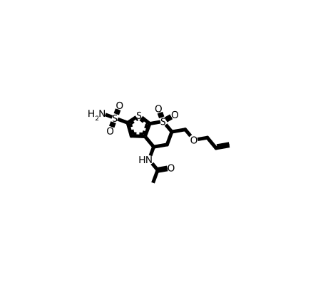 C=CCOCC1CC(NC(C)=O)c2cc(S(N)(=O)=O)sc2S1(=O)=O